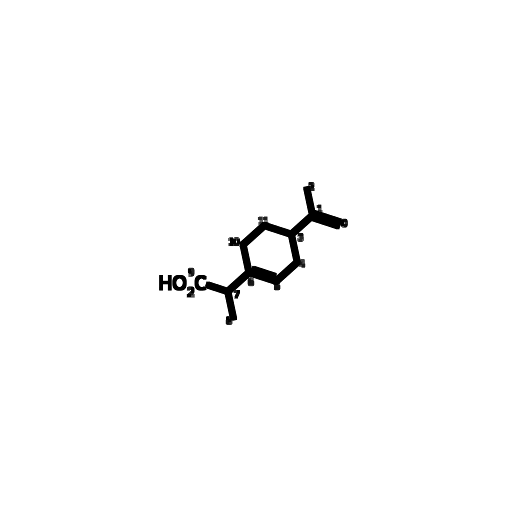 C=C(C)C1CC=C(C(C)C(=O)O)CC1